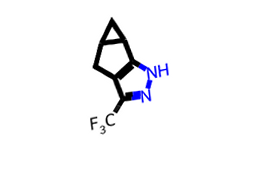 FC(F)(F)c1n[nH]c2c1CC1CC21